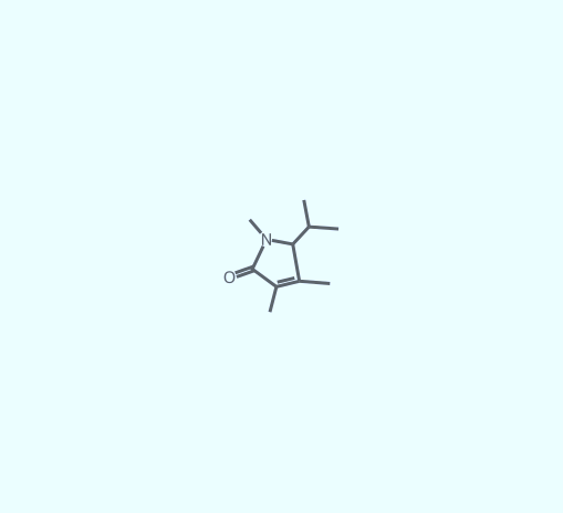 CC1=C(C)C(C(C)C)N(C)C1=O